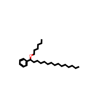 CCCCCCCCCCCCCCC(OCCCCCC)c1ccccc1